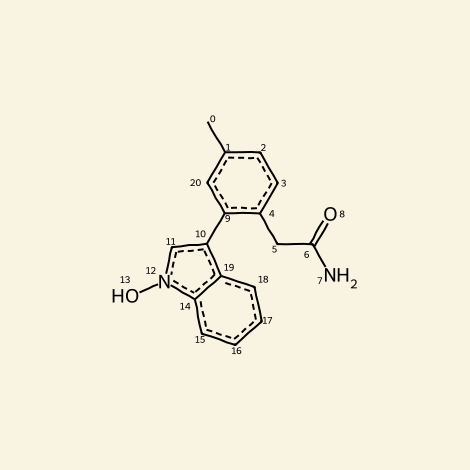 Cc1ccc(CC(N)=O)c(-c2cn(O)c3ccccc23)c1